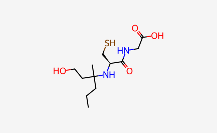 CCCC(C)(CCO)N[C@@H](CS)C(=O)NCC(=O)O